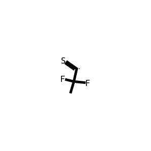 CC(F)(F)[C]=S